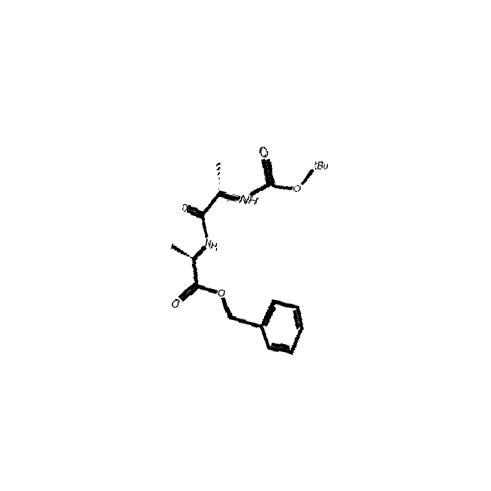 C[C@H](NC(=O)OC(C)(C)C)C(=O)N[C@H](C)C(=O)OCc1ccccc1